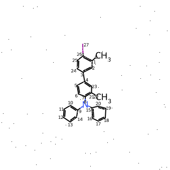 Cc1cc(-c2ccc(N(c3ccccc3)c3ccccc3)c(C)c2)ccc1I